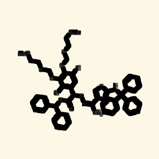 COCCOCOc1c(Cl)cc(C(ON=C(C(=O)O)c2csc(NC(c3ccccc3)(c3ccccc3)c3ccccc3)n2)C(=O)OC(c2ccccc2)c2ccccc2)c(Cl)c1OCOCCOC